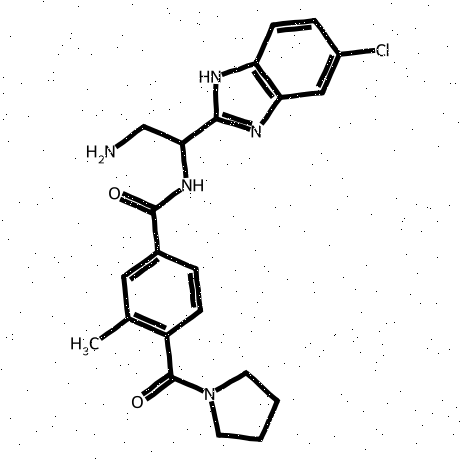 Cc1cc(C(=O)NC(CN)c2nc3cc(Cl)ccc3[nH]2)ccc1C(=O)N1CCCC1